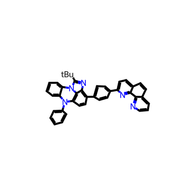 CC(C)(C)c1nc2c(-c3ccc(-c4ccc5ccc6cccnc6c5n4)cc3)ccc3c2n1-c1ccccc1N3c1ccccc1